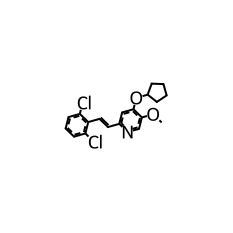 COc1cnc(C=Cc2c(Cl)cccc2Cl)cc1OC1CCCC1